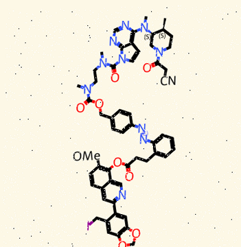 COc1ccc2cc(-c3cc4c(cc3CI)OCO4)ncc2c1OC(=O)CCc1ccccc1/N=N/c1ccc(COC(=O)N(C)CCN(C)C(=O)n2ccc3c(N(C)[C@@H]4CN(C(=O)CC#N)CC[C@@H]4C)ncnc32)cc1